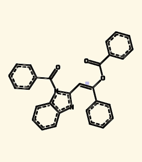 O=C(O/C(=C/c1nc2ccccc2n1C(=O)c1ccccc1)c1ccccc1)c1ccccc1